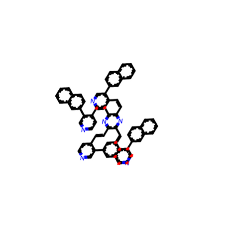 C(=Cc1nc(C=Cc2ccncc2-c2ccc3ccccc3c2)c(C=Cc2ccncc2-c2ccc3ccccc3c2)nc1C=Cc1ccncc1-c1ccc2ccccc2c1)c1ccncc1-c1ccc2ccccc2c1